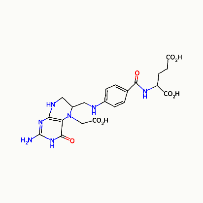 Nc1nc2c(c(=O)[nH]1)N(CC(=O)O)C(CNc1ccc(C(=O)NC(CCC(=O)O)C(=O)O)cc1)CN2